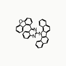 c1ccc2c(c1)ccc1c3ccc4ccccc4c3n(-c3nc(-c4cccc5oc6ccccc6c45)c4ccccc4n3)c21